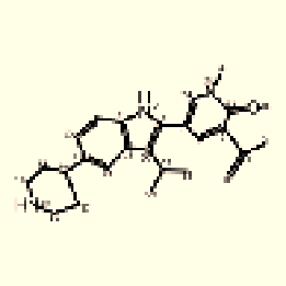 C=C(C)c1cc(-c2[nH]c3ccc(C4CCNCC4)cc3c2C(C)C)cn(C)c1=O